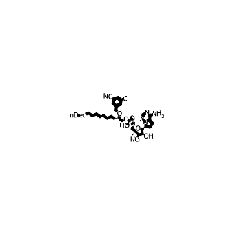 CCCCCCCCCCCCCCCCCC[C@@H](COP(=O)(O)OC[C@@]1(C)O[C@@H](C2CC=C3C(N)=NC=NN32)[C@H](O)[C@@H]1O)OCc1cc(Cl)cc(C#N)c1